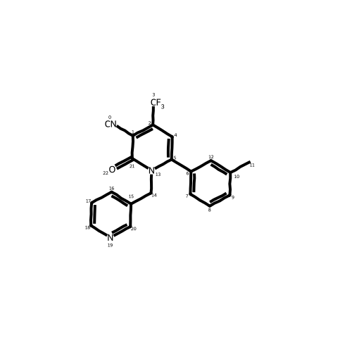 [C-]#[N+]c1c(C(F)(F)F)cc(-c2cccc(C)c2)n(Cc2cccnc2)c1=O